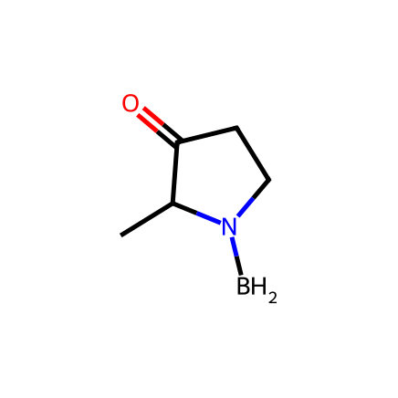 BN1CCC(=O)C1C